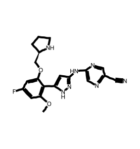 COc1cc(F)cc(OC[C@H]2CCCN2)c1-c1cc(Nc2cnc(C#N)cn2)n[nH]1